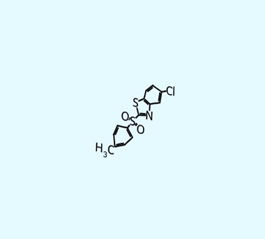 Cc1ccc(S(=O)(=O)c2nc3cc(Cl)ccc3s2)cc1